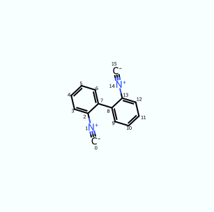 [C-]#[N+]c1ccccc1-c1ccccc1[N+]#[C-]